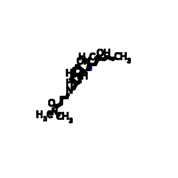 CCCC[C@](C)(O)C/C=C/[C@@H]1[C@H]2CC(CNCCCC(=O)N(C)C)=C[C@H]2C[C@H]1O